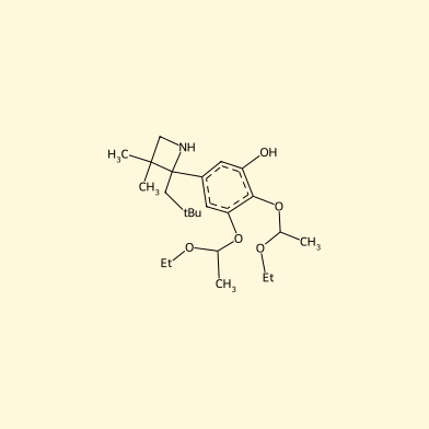 CCOC(C)Oc1cc(C2(CC(C)(C)C)NCC2(C)C)cc(O)c1OC(C)OCC